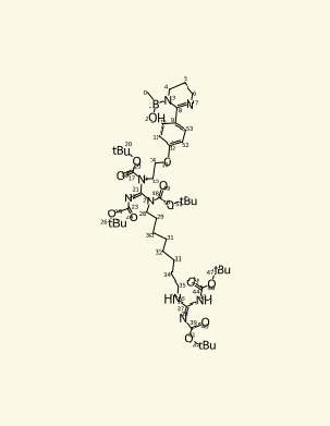 CB(O)N1CCCN=C1c1ccc(OCCN(C(=O)OC(C)(C)C)/C(=N/C(=O)OC(C)(C)C)N(CCCCCCCCN/C(=N/C(=O)OC(C)(C)C)NC(=O)OC(C)(C)C)C(=O)OC(C)(C)C)cc1